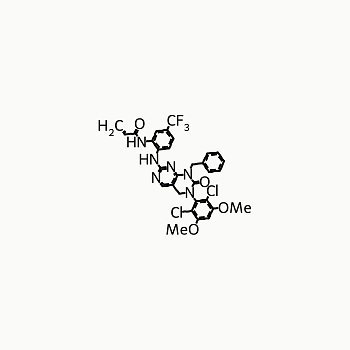 C=CC(=O)Nc1cc(C(F)(F)F)ccc1Nc1ncc2c(n1)N(Cc1ccccc1)C(=O)N(c1c(Cl)c(OC)cc(OC)c1Cl)C2